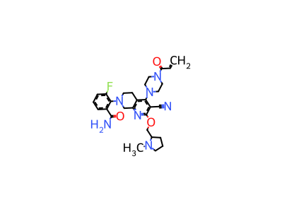 C=CC(=O)N1CCN(c2c(C#N)c(OCC3CCCN3C)nc3c2CCN(c2c(F)cccc2C(N)=O)C3)CC1